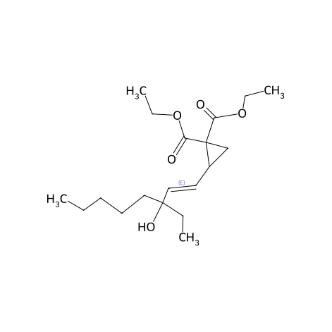 CCCCCC(O)(/C=C/C1CC1(C(=O)OCC)C(=O)OCC)CC